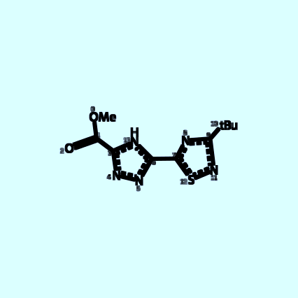 COC(=O)c1nnc(-c2nc(C(C)(C)C)ns2)[nH]1